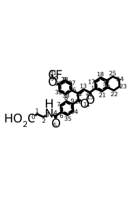 O=C(O)CCNC(=O)c1ccc(C(=O)/C(=C\C(=O)c2ccc3c(c2)CCCC3)c2ccc(OC(F)(F)F)cc2)cc1